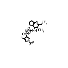 Cc1c(CC(F)(F)F)nc2c(c1NC(=O)N=S(N)(=O)c1nn(C(F)F)cc1F)CCC2